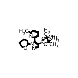 Cc1cccc(-c2c(B3OC(C)(C)C(C)(C)O3)cnn2C2CCCCO2)n1